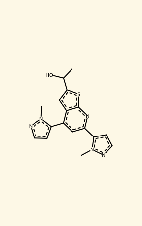 CC(O)c1cc2c(-c3ccnn3C)cc(-c3ccnn3C)nc2s1